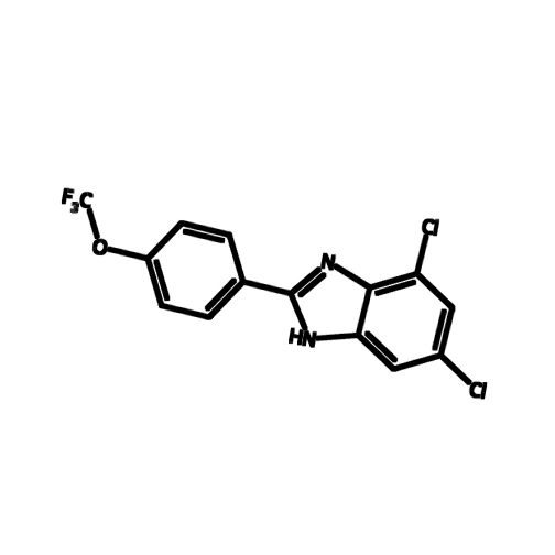 FC(F)(F)Oc1ccc(-c2nc3c(Cl)cc(Cl)cc3[nH]2)cc1